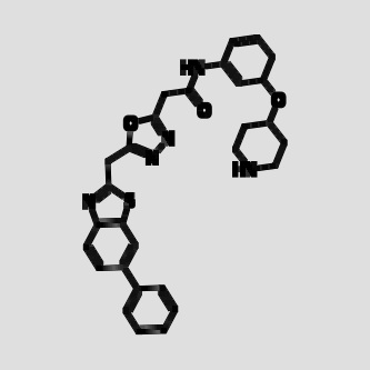 O=C(Cc1nnc(Cc2nc3ccc(-c4ccccc4)cc3s2)o1)NC1=CC(OC2CCNCC2)CC=C1